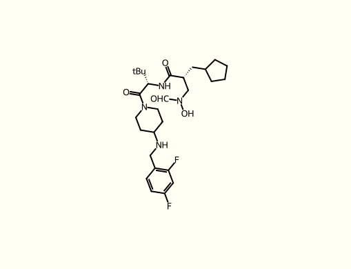 CC(C)(C)[C@H](NC(=O)[C@H](CC1CCCC1)CN(O)C=O)C(=O)N1CCC(NCc2ccc(F)cc2F)CC1